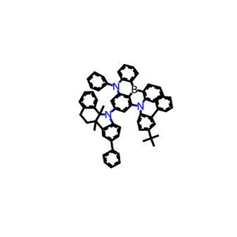 CC(C)(C)c1ccc(N2c3ccccc3B3c4ccccc4N(c4ccccc4)c4cc(N5c6ccc(-c7ccccc7)cc6C6(C)CCc7ccccc7C56C)cc2c43)c(-c2ccccc2)c1